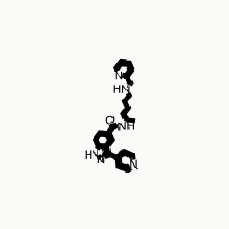 CC(CCCCNCc1ccccn1)NC(=O)c1ccc2[nH]nc(-c3ccncc3)c2c1